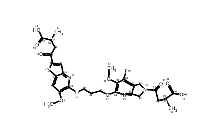 COc1cc2sc(C(=O)C[C@H](C)C(=O)O)cc2nc1OCCCOc1nc2c(c(F)c1OC)CN(C(=O)C[C@H](C)C(=O)O)C2